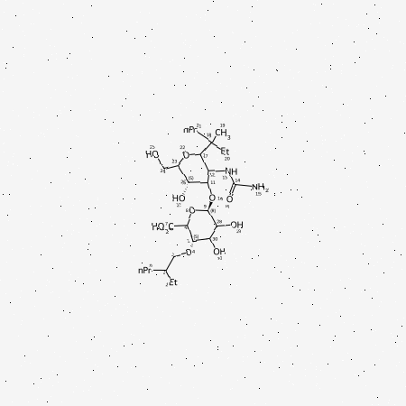 CCCC(CC)CO[C@@H]1C(C(=O)O)O[C@@H](OC2C(NC(N)=O)C(C(C)(CC)CCC)OC(CO)[C@H]2O)C(O)C1O